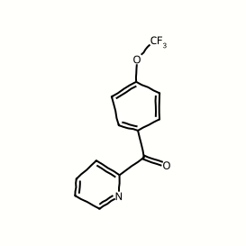 O=C(c1ccc(OC(F)(F)F)cc1)c1ccccn1